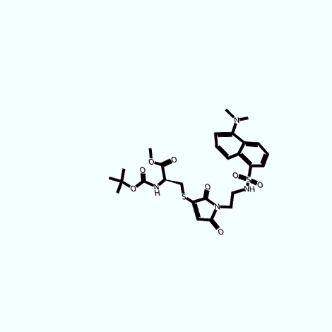 COC(=O)[C@@H](CSC1=CC(=O)N(CCNS(=O)(=O)c2cccc3c(N(C)C)cccc23)C1=O)NC(=O)OC(C)(C)C